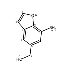 Bc1cc(CO)cc2ccoc12